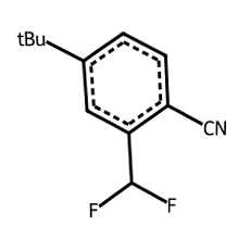 CC(C)(C)c1ccc(C#N)c(C(F)F)c1